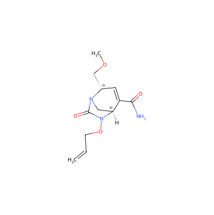 C=CCON1C(=O)N2C[C@H]1C(C(N)=O)=C[C@H]2COC